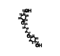 OCc1ccc(OCCCCCOc2ccc(CO)cc2)cc1